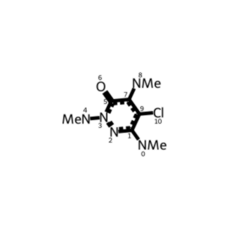 CNc1nn(NC)c(=O)c(NC)c1Cl